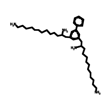 NCCCCCCCCCCCC(N)Cc1cc(CC(N)CCCCCCCCCCCN)cc(-c2ccccc2)c1